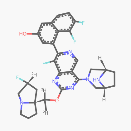 [2H]C([2H])(Oc1nc(N2C[C@H]3CC[C@@H](C2)N3)c2cnc(-c3cc(O)cc4ccc(F)c(F)c34)c(F)c2n1)[C@@]12CCCN1C[C@]([2H])(F)C2